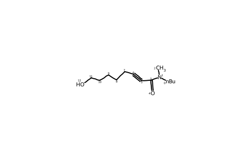 CCCCN(C)C(=O)C#CCCCCCO